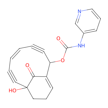 O=C(Nc1cccnc1)OC1C#C/C=C\C#CC2(O)CCC=C1C2=O